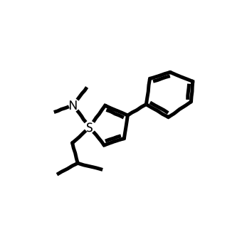 CC(C)CS1(N(C)C)C=CC(c2ccccc2)=C1